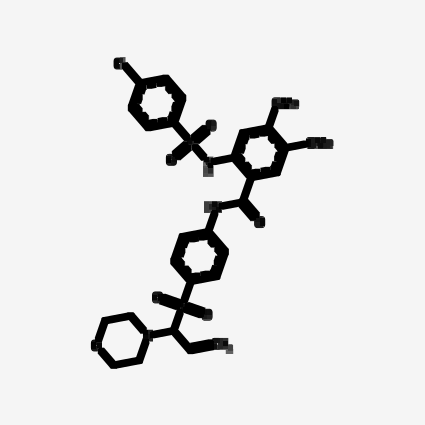 C=CC(N1CCOCC1)S(=O)(=O)c1ccc(NC(=O)c2cc(OC)c(OC)cc2NS(=O)(=O)c2ccc(Cl)cc2)cc1